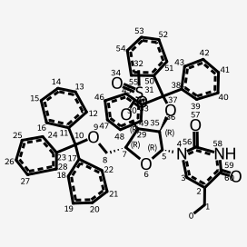 CCc1cn([C@@H]2O[C@H](COC(c3ccccc3)(c3ccccc3)c3ccccc3)[C@@H](OS(C)(=O)=O)[C@H]2OC(c2ccccc2)(c2ccccc2)c2ccccc2)c(=O)[nH]c1=O